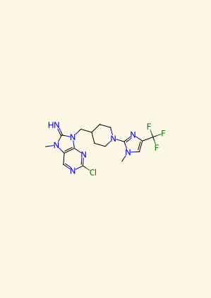 Cn1cc(C(F)(F)F)nc1N1CCC(Cn2c(=N)n(C)c3cnc(Cl)nc32)CC1